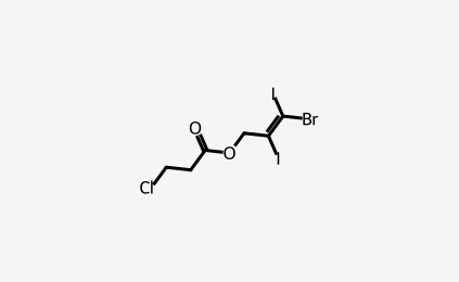 O=C(CCCl)OCC(I)=C(Br)I